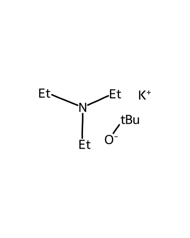 CC(C)(C)[O-].CCN(CC)CC.[K+]